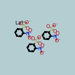 O=[N+]([O-])c1ccccc1S(=O)(=O)[O-].O=[N+]([O-])c1ccccc1S(=O)(=O)[O-].O=[N+]([O-])c1ccccc1S(=O)(=O)[O-].[La+3]